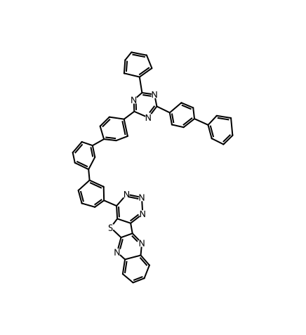 c1ccc(-c2ccc(-c3nc(-c4ccccc4)nc(-c4ccc(-c5cccc(-c6cccc(-c7nnnc8c7sc7nc9ccccc9nc78)c6)c5)cc4)n3)cc2)cc1